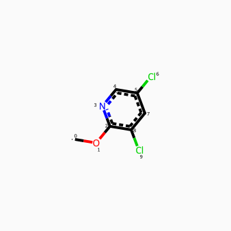 [CH2]Oc1ncc(Cl)cc1Cl